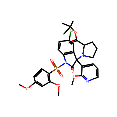 COc1ccc(S(=O)(=O)N2C(=O)C(c3cccnc3OC)(N3CCCC3C(=O)OC(C)(C)C)c3cc(Cl)ccc32)c(OC)c1